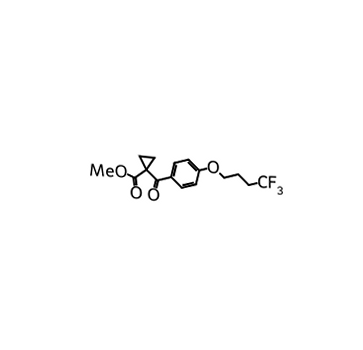 COC(=O)C1(C(=O)c2ccc(OCCCC(F)(F)F)cc2)CC1